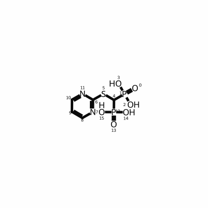 O=P(O)(O)C(Sc1ncccn1)P(=O)(O)O